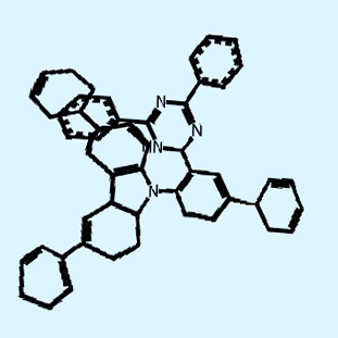 C1=CC[C@@H](C2=CC(C3N=C(c4ccccc4)N=C(c4ccccc4)N3)=C(N3C4=C(CC(C5CC=CCC5)C=C4)C4C=C(C5=CCCC=C5)CCC43)CC2)C=C1